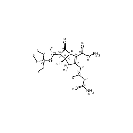 CC[Si](CC)(CC)O[C@H](C)[C@H]1C(=O)N2C(C(=O)OP)=C(CN(C)CC(N)=O)[C@H](C)[C@H]12